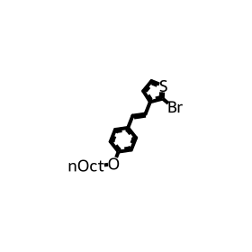 CCCCCCCCOc1ccc(C=Cc2ccsc2Br)cc1